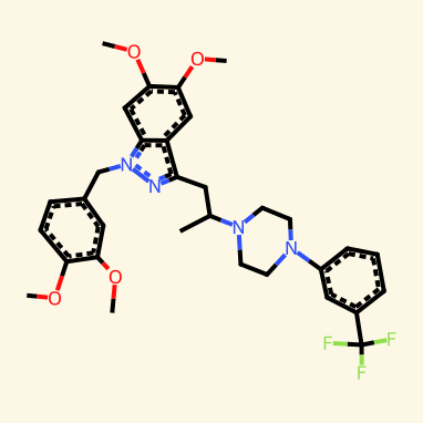 COc1ccc(Cn2nc(CC(C)N3CCN(c4cccc(C(F)(F)F)c4)CC3)c3cc(OC)c(OC)cc32)cc1OC